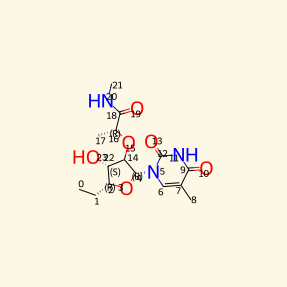 CC[C@H]1O[C@@H](n2cc(C)c(=O)[nH]c2=O)C(O[C@H](C)C(=O)NC)[C@H]1O